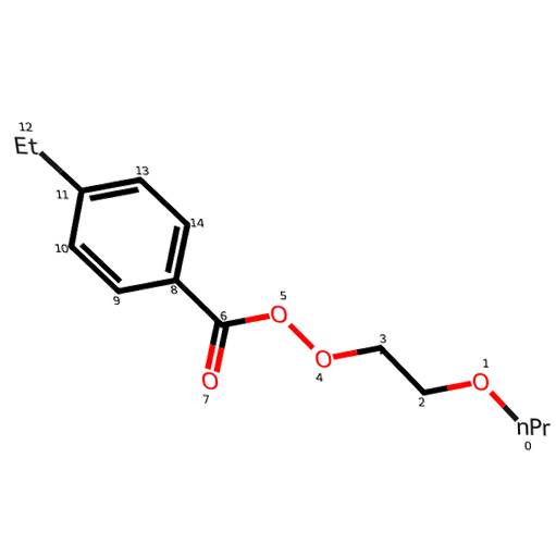 CCCOC[CH]OOC(=O)c1ccc(CC)cc1